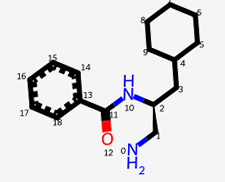 NC[C@H](CC1CCCCC1)NC(=O)c1ccccc1